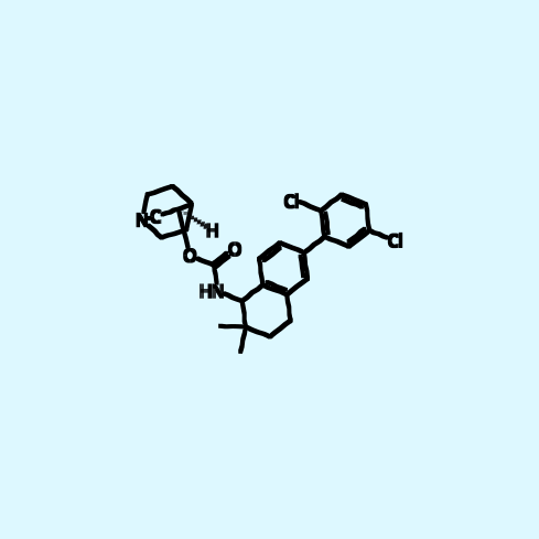 CC1(C)CCc2cc(-c3cc(Cl)ccc3Cl)ccc2C1NC(=O)O[C@H]1CN2CCC1CC2